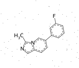 Cc1ncc2ccc(-c3cccc(F)c3)cn12